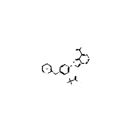 NC(=O)c1cccc2cn(-c3ccc(CN4CC5CCC4CN5)cc3)nc12.O=C(O)C(F)(F)F